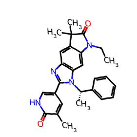 CCN1C(=O)C(C)(C)c2cc3nc(-c4c[nH]c(=O)c(C)c4)n([C@@H](C)c4ccccc4)c3cc21